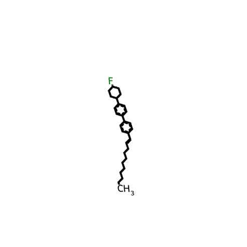 CCCCCCCCC/C=C/c1ccc(-c2ccc(C3CCC(F)CC3)cc2)cc1